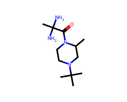 CC1CN(C(C)(C)C)CCN1C(=O)C(C)(N)N